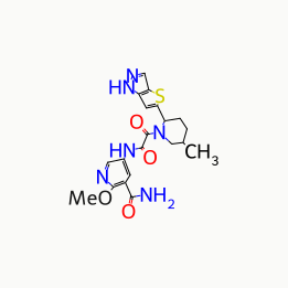 COc1ncc(NC(=O)C(=O)N2CC(C)CCC2c2cc3[nH]ncc3s2)cc1C(N)=O